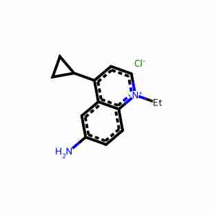 CC[n+]1ccc(C2CC2)c2cc(N)ccc21.[Cl-]